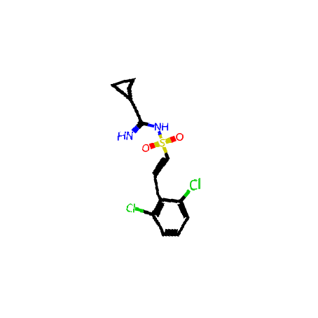 N=C(NS(=O)(=O)/C=C/c1c(Cl)cccc1Cl)C1CC1